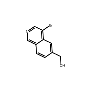 OCc1ccc2cncc(Br)c2c1